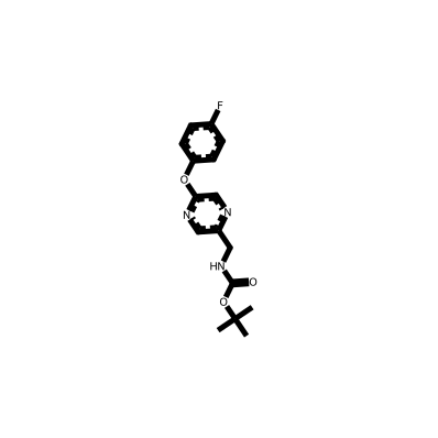 CC(C)(C)OC(=O)NCc1cnc(Oc2ccc(F)cc2)cn1